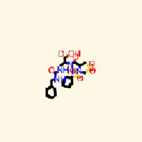 O=C(NCc1ccccc1)NCC(NC(=O)C1CS(=O)(=O)CN1S(=O)(=O)c1ccccc1)C(=O)O